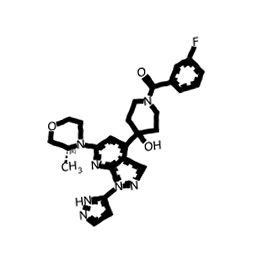 C[C@@H]1COCCN1c1cc(C2(O)CCN(C(=O)c3cccc(F)c3)CC2)c2cnn(-c3ccn[nH]3)c2n1